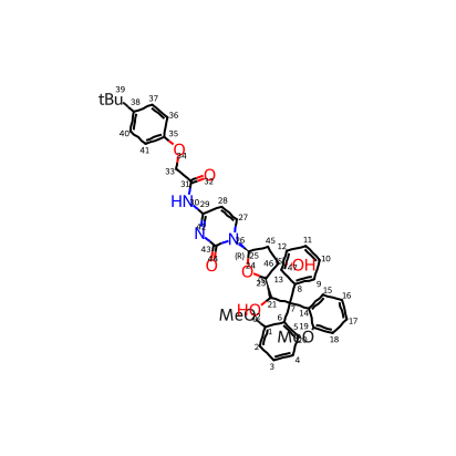 COc1ccccc1C(c1ccccc1)(c1ccccc1OC)C(O)[C@H]1O[C@@H](n2ccc(NC(=O)COc3ccc(C(C)(C)C)cc3)nc2=O)C[C@@H]1O